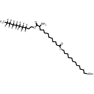 CCCCCCCCCCCCCCCCCCCCCCOC(=O)CCCCCCCCCC(N)C(=O)OCCC(F)(F)C(F)(F)C(F)(F)C(F)(F)C(F)(F)C(F)(F)C(F)(F)C(F)(F)F